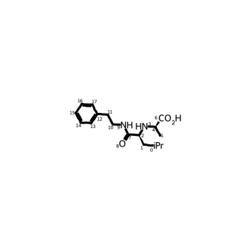 CC(C)C[C@H](N[C@H](C)C(=O)O)C(=O)NCCc1ccccc1